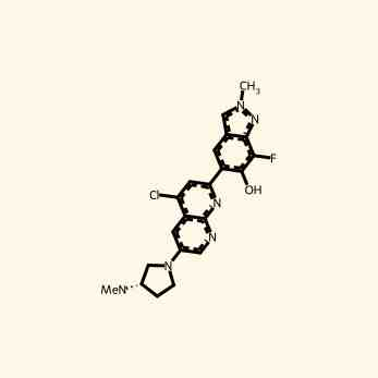 CN[C@H]1CCN(c2cnc3nc(-c4cc5cn(C)nc5c(F)c4O)cc(Cl)c3c2)C1